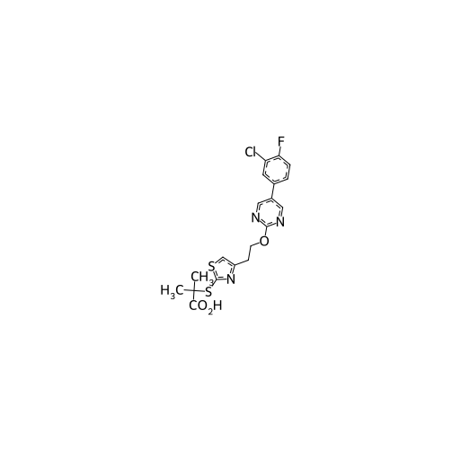 CC(C)(Sc1nc(CCOc2ncc(-c3ccc(F)c(Cl)c3)cn2)cs1)C(=O)O